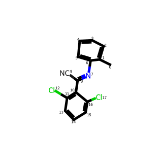 Cc1ccccc1N=C(C#N)c1c(Cl)cccc1Cl